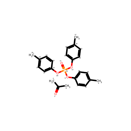 CC(C)=O.Cc1ccc(OP(=O)(Oc2ccc(C)cc2)Oc2ccc(C)cc2)cc1